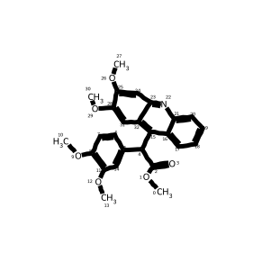 COC(=O)C(c1ccc(OC)c(OC)c1)c1c2ccccc2nc2cc(OC)c(OC)cc12